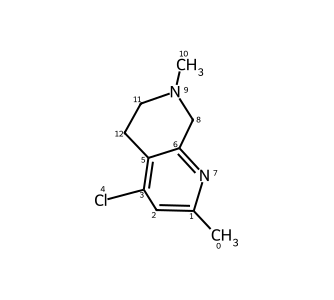 Cc1cc(Cl)c2c(n1)CN(C)CC2